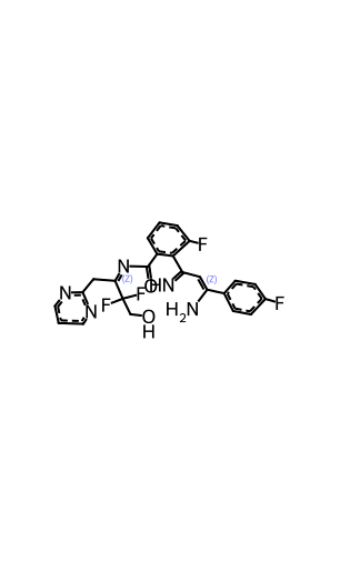 N=C(/C=C(\N)c1ccc(F)cc1)c1c(F)cccc1C(=O)/N=C(/Cc1ncccn1)C(F)(F)CO